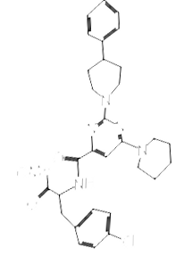 COC(=O)C(Cc1ccc(Cl)cc1)NC(=O)c1cc(N2CCCCC2)nc(N2CCC(c3ccccc3)CC2)n1